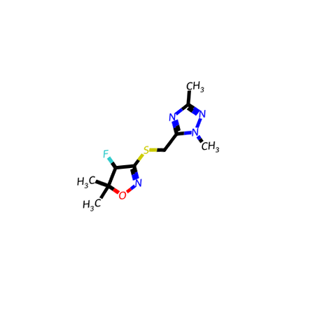 Cc1nc(CSC2=NOC(C)(C)C2F)n(C)n1